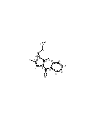 CSCCn1c(C)cc(C(=O)c2ccccc2)c1C